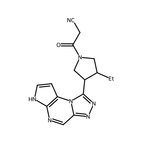 CCC1CN(C(=O)CC#N)CC1c1nnc2cnc3[nH]ccc3n12